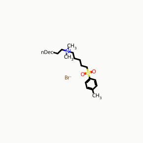 CCCCCCCCCCCC[N+](C)(C)CCCCCS(=O)(=O)c1ccc(C)cc1.[Br-]